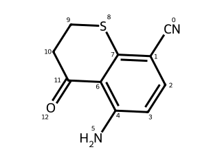 N#Cc1ccc(N)c2c1SCCC2=O